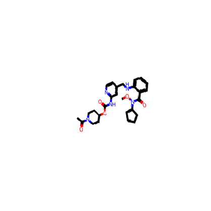 CON(C(=O)c1ccccc1NCc1ccnc(NC(=O)OC2CCN(C(C)=O)CC2)c1)C1CCCC1